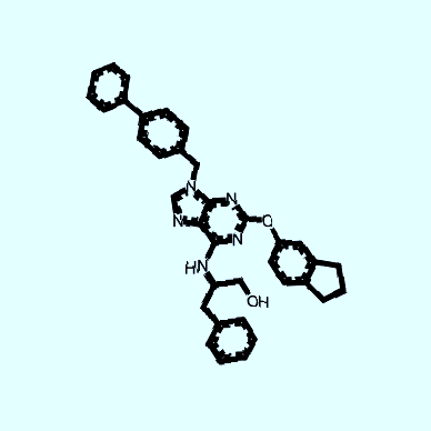 OCC(Cc1ccccc1)Nc1nc(Oc2ccc3c(c2)CCC3)nc2c1ncn2Cc1ccc(-c2ccccc2)cc1